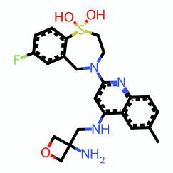 Cc1ccc2nc(N3CCS(O)(O)c4ccc(F)cc4C3)cc(NCC3(N)COC3)c2c1